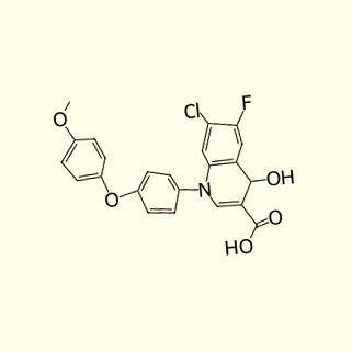 COc1ccc(Oc2ccc(N3C=C(C(=O)O)C(O)c4cc(F)c(Cl)cc43)cc2)cc1